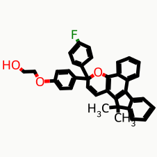 CC1(C)c2ccccc2-c2c1c1c(c3ccccc23)OC(c2ccc(F)cc2)(c2ccc(OCCO)cc2)C=C1